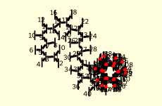 II(I)I(I)I(I)I(I)I(I)I(I)I(I)I(I)I(I)I(I)I(I)I(I)I(I)I(I)I(I)I(I)I(I)I(I)I(I)I(I)I(I)I(I)I(I)I(I)I(I)I(I)I(I)I(I)I(I)I(I)I(I)I(I)I(I)I(I)I(I)I(I)I(I)I(I)I(I)I(I)I(I)I(I)I(I)I(I)I(I)I(I)I(I)I(I)I(I)I(I)I(I)I(I)I(I)I(I)I(I)I(I)I